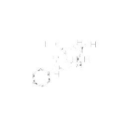 CC[SiH](O[Si](C)(C)O[SiH](C)C)c1ccccc1